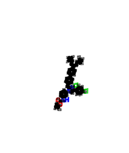 CC(C)(C)CCC(CCC(C)(C)C)c1ccc(-c2ccc(Cc3nc(-c4ccc(Cl)cc4Cl)cn3-c3cccc(NC(=O)OC(C)(C)C)c3)cc2)cc1